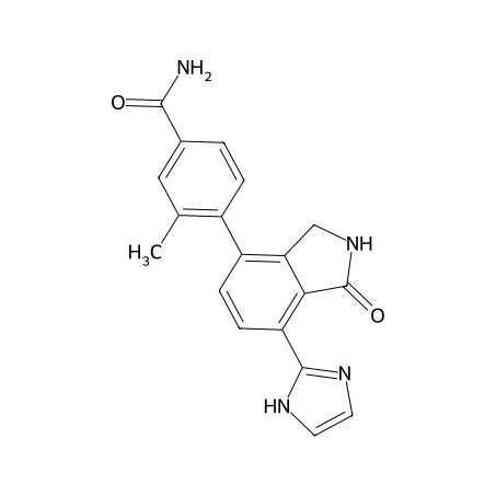 Cc1cc(C(N)=O)ccc1-c1ccc(-c2ncc[nH]2)c2c1CNC2=O